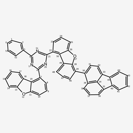 c1ccc(-c2nc(-c3cccc4oc5ccccc5c34)nc(-c3cccc4oc5c(-c6ccc7c8c(cccc68)-c6ccccc6-7)cccc5c34)n2)cc1